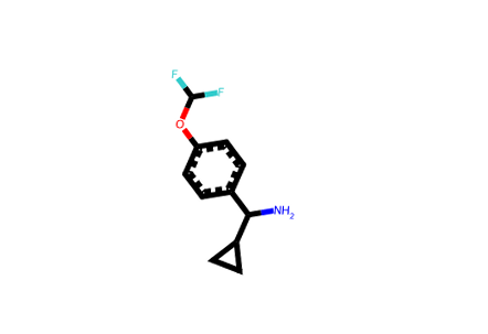 NC(c1ccc(OC(F)F)cc1)C1CC1